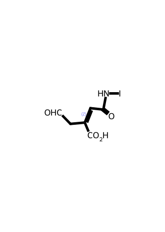 O=CC/C(=C/C(=O)NI)C(=O)O